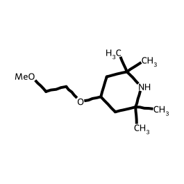 COCCOC1CC(C)(C)NC(C)(C)C1